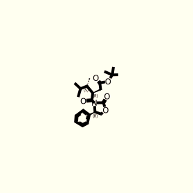 CC(C)[C@H](C)[C@@H](CC(=O)OC(C)(C)C)C(=O)N1C(=O)OC[C@H]1c1ccccc1